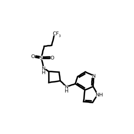 O=S(=O)(CCC(F)(F)F)NC1CC(Nc2ccnc3[nH]ccc23)C1